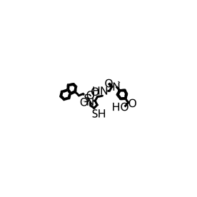 CN(C(=O)CNCC(=O)C1CC(S)CN1S(=O)(=O)CCc1cccc2ccccc12)c1ccc(C(=O)O)cc1